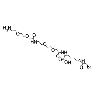 NCCOCCOCC(=O)NCCOCCOCC(=O)N[C@@H](CCCCNC(=O)CBr)C(=O)O